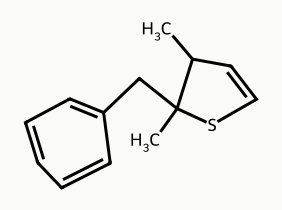 CC1C=CSC1(C)Cc1ccccc1